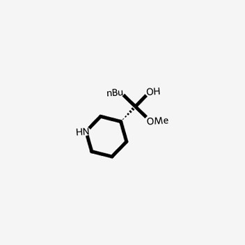 CCCCC(O)(OC)[C@@H]1CCCNC1